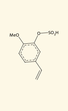 C=Cc1ccc(OC)c(OS(=O)(=O)O)c1